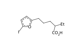 CCC(CCCc1ccc(I)o1)C(=O)O